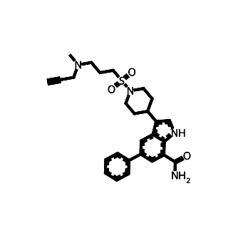 C#CCN(C)CCCS(=O)(=O)N1CCC(c2c[nH]c3c(C(N)=O)cc(-c4ccccc4)cc23)CC1